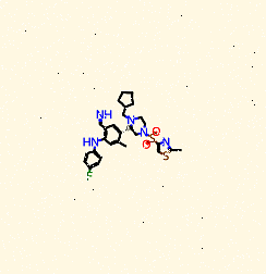 Cc1nc(S(=O)(=O)N2CCN(CC3CCCC3)[C@@H](c3cc(C=N)c(Nc4ccc(F)cc4)cc3C)C2)cs1